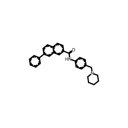 O=C(Nc1ccc(CN2CCCCC2)cc1)c1ccc2ccc(-c3ccccc3)cc2c1